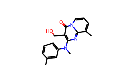 Cc1cccc(N(C)c2nc3c(C)cccn3c(=O)c2CO)c1